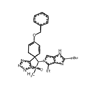 CCCCc1nc2c(CC)n(C(C3(c4nnn[nH]4)C=CC(OCc4ccccc4)=CC3)S(C)(=O)=O)cc2[nH]1